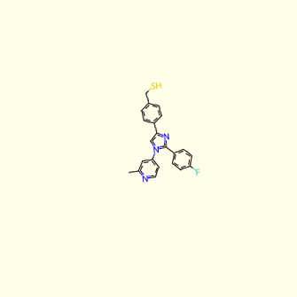 Cc1cc(-n2cc(-c3ccc(CS)cc3)nc2-c2ccc(F)cc2)ccn1